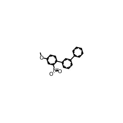 COc1ccc(-c2cccc(-c3ccccc3)c2)c([N+](=O)[O-])c1